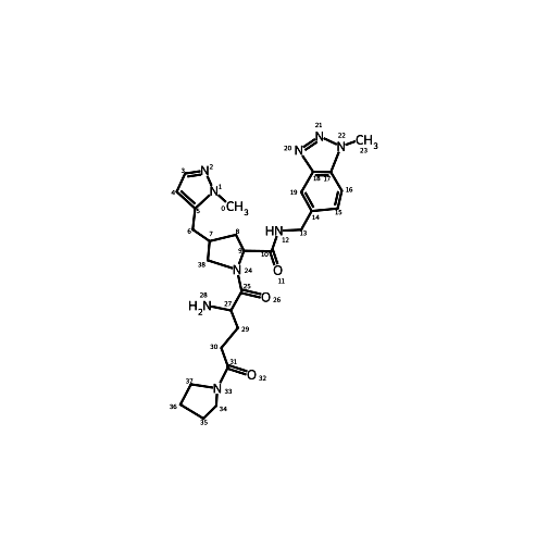 Cn1nccc1CC1CC(C(=O)NCc2ccc3c(c2)nnn3C)N(C(=O)C(N)CCC(=O)N2CCCC2)C1